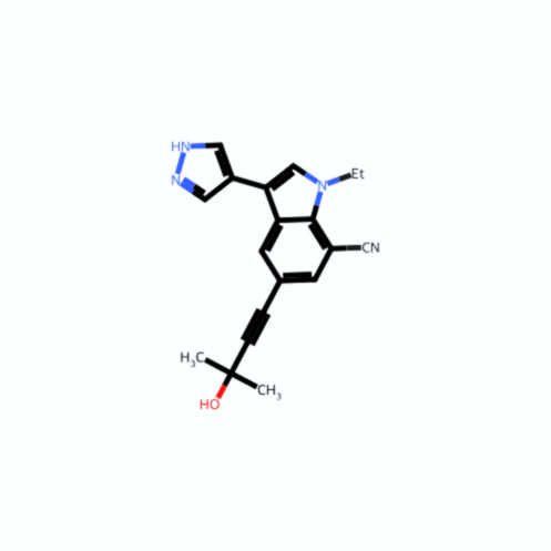 CCn1cc(-c2cn[nH]c2)c2cc(C#CC(C)(C)O)cc(C#N)c21